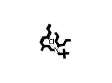 C=C/C=C(Cl)\C=C/C(C)CCN(CC(C)(C)C)C(CCC)CCC